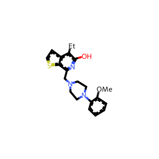 CCc1c(O)nc(CN2CCN(c3ccccc3OC)CC2)c2sccc12